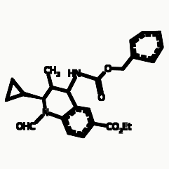 CCOC(=O)c1ccc2c(c1)C(NC(=O)OCc1ccccc1)C(C)[C@H](C1CC1)N2C=O